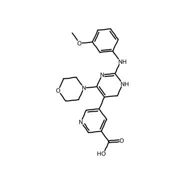 COc1cccc(NC2=NC(N3CCOCC3)=C(c3cncc(C(=O)O)c3)CN2)c1